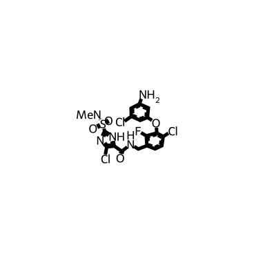 CNS(=O)(=O)c1nc(Cl)c(C(=O)NCc2ccc(Cl)c(Oc3cc(N)cc(Cl)c3)c2F)[nH]1